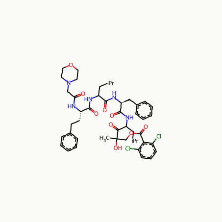 CC(C)CC(NC(=O)[C@H](CCc1ccccc1)NC(=O)CN1CCOCC1)C(=O)N[C@@H](Cc1ccccc1)C(=O)NC(CC(C)C)C(=O)C(C)(O)COC(=O)c1c(Cl)cccc1Cl